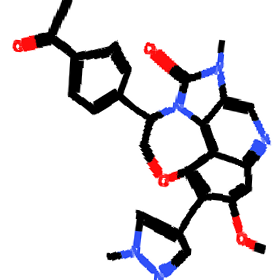 COc1cc2ncc3c4c2c(c1-c1cnn(C)c1)OCC(c1ccc(C(C)=O)cc1)n4c(=O)n3C